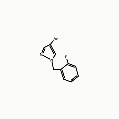 CC(=O)c1cnn(Cc2ccccc2F)c1